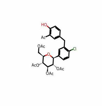 CC(=O)OC[C@H]1O[C@@H](c2ccc(Cl)c(Cc3ccc(O)c(C(C)=O)c3)c2)[C@H](OC(C)=O)[C@@H](OC(C)=O)[C@@H]1OC(C)=O